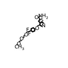 CCOCCOCCOCC(F)(F)c1ccc(OCc2cncc3sc(C(N)=O)cc23)cc1